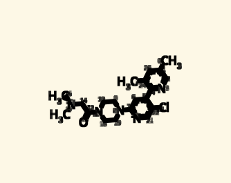 Cc1cnc(-c2cc(N3CCN(C(=O)CN(C)C)CC3)ncc2Cl)c(C)c1